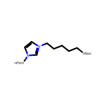 CCCCCCCCCCCCCC[n+]1ccn(CCCCC)c1